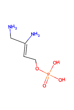 NCC(N)=CCOP(=O)(O)O